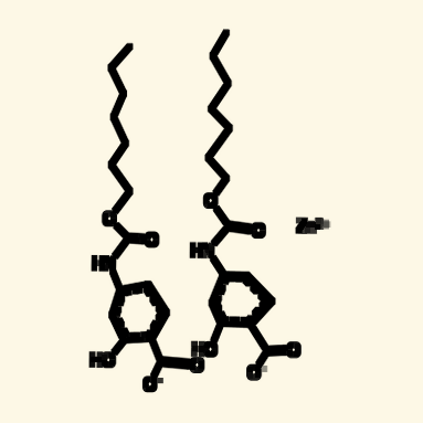 CCCCCCCOC(=O)Nc1ccc(C(=O)[O-])c(O)c1.CCCCCCCOC(=O)Nc1ccc(C(=O)[O-])c(O)c1.[Zn+2]